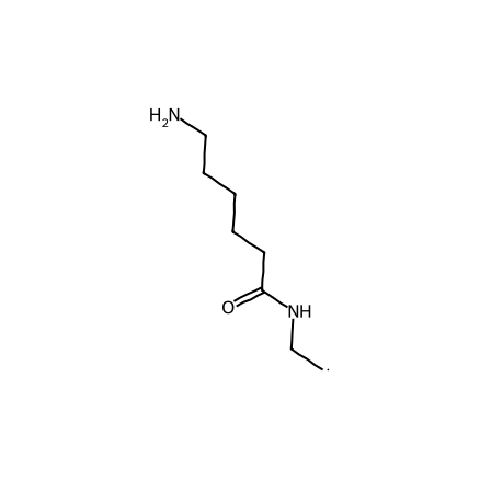 [CH2]CNC(=O)CCCCCN